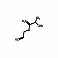 C=CCOC(=C)C(C)OC